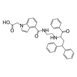 O=C(O)Cn1ccc2c(C(=O)NCCNC(CC(c3ccccc3)c3ccccc3)C(=O)c3ccccc3)cccc21